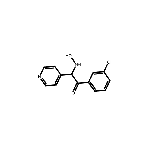 O=C(c1cccc(Cl)c1)C(NO)c1ccncc1